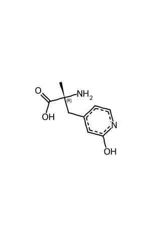 C[C@@](N)(Cc1ccnc(O)c1)C(=O)O